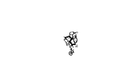 COC1CO[C@@H]2C(SN=O)CO[C@H]12